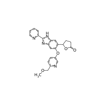 COCc1ccc(Oc2cc3nc(-c4ccccn4)[nH]c3cc2C2CCC(=O)O2)cn1